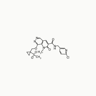 Cn1c(=O)c(C(=O)NCc2ccc(Cl)nc2)cc2cnnc(OCC3(S(C)(=O)=O)CC3)c21